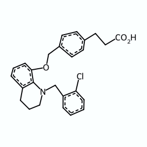 O=C(O)CCc1ccc(COc2cccc3c2N(Cc2ccccc2Cl)CCC3)cc1